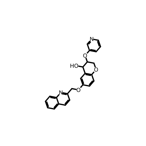 OC1c2cc(OCc3ccc4ccccc4n3)ccc2OCC1Oc1cccnc1